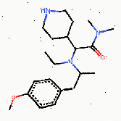 CCN(C(C)Cc1ccc(OC)cc1)C(C(=O)N(C)C)C1CCNCC1